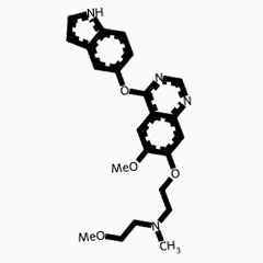 COCCN(C)CCOc1cc2ncnc(Oc3ccc4[nH]ccc4c3)c2cc1OC